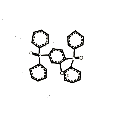 Cc1cc(P(=O)(c2ccccc2)c2ccccc2)ccc1P(=O)(c1ccccc1)c1ccccc1